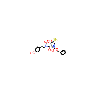 O=C(O)N(CCc1ccc(O)cc1)C(=O)[C@@H]1C[C@@H](S)CN1C(=O)OCc1ccccc1